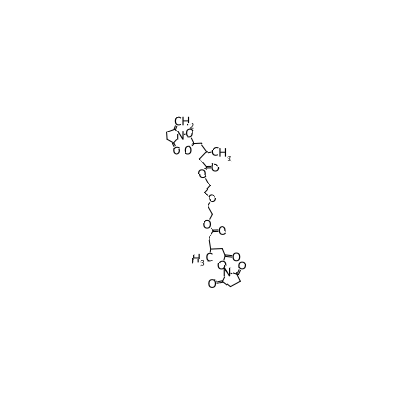 C=C1CCC(=O)N1OC(=O)CC(C)CC(=O)OCCOCCOC(=O)CC(C)CC(=O)ON1C(=O)CCC1=O